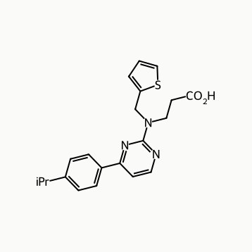 CC(C)c1ccc(-c2ccnc(N(CCC(=O)O)Cc3cccs3)n2)cc1